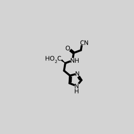 N#CCC(=O)N[C@@H](Cc1c[nH]cn1)C(=O)O